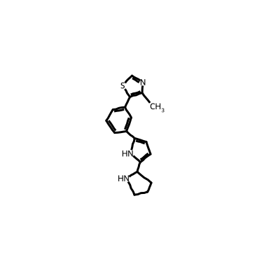 Cc1ncsc1-c1cccc(-c2ccc(C3CCCN3)[nH]2)c1